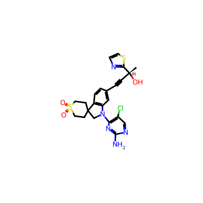 C[C@@](O)(C#Cc1ccc2c(c1)N(c1nc(N)ncc1Cl)CC21CCS(=O)(=O)CC1)c1nccs1